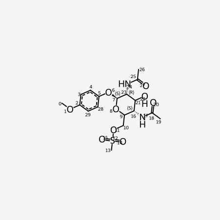 COc1ccc(O[C@@H]2OC(COS(C)(=O)=O)[C@@H](NC(C)=O)C(O)[C@H]2NC(C)=O)cc1